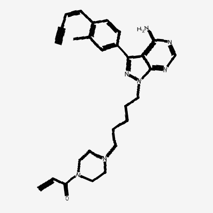 C#C/C=C\c1ccc(-c2nn(CCCCCN3CCN(C(=O)C=C)CC3)c3ncnc(N)c23)cc1C